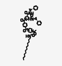 CCCCCCCCCCCCCNC(=O)[C@@H]1CN(C(=O)c2ccc(C(=O)N3C[C@@H](C(=O)N[C@H]4C[C@@H]4c4ccccc4)[C@H](C(=O)N[C@H]4C[C@@H]4c4ccccc4)C3)cc2)CCN1C(C)=O